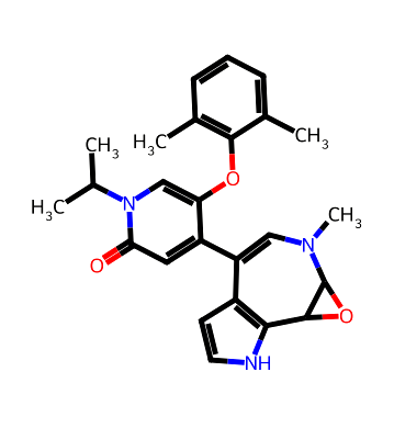 Cc1cccc(C)c1Oc1cn(C(C)C)c(=O)cc1C1=CN(C)C2OC2c2[nH]ccc21